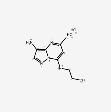 Cc1cc(NCCO)n2ncc(N)c2n1.Cl.Cl